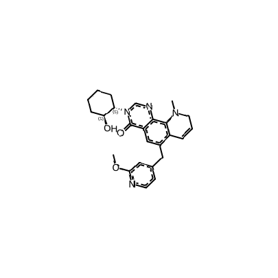 COc1cc(Cc2cc3c(=O)n([C@H]4CCCC[C@@H]4O)cnc3c3c2C=CCN3C)ccn1